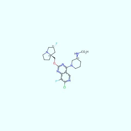 O=C(O)N[C@H]1CCCN(c2nc(OC[C@@]34CCCN3C[C@H](F)C4)nc3c(F)c(Cl)ncc23)C1